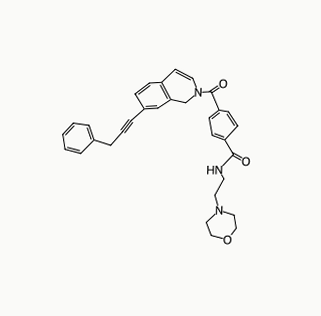 O=C(NCCN1CCOCC1)c1ccc(C(=O)N2C=Cc3ccc(C#CCc4ccccc4)cc3C2)cc1